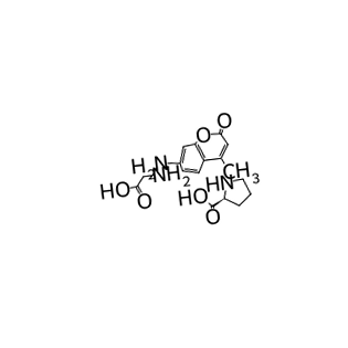 Cc1cc(=O)oc2cc(N)ccc12.NCC(=O)O.O=C(O)[C@@H]1CCCN1